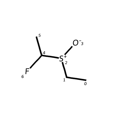 CC[S+]([O-])C(C)F